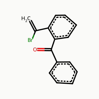 C=C(Br)c1ccccc1C(=O)c1ccccc1